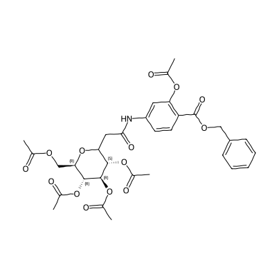 CC(=O)OC[C@H]1OC(CC(=O)Nc2ccc(C(=O)OCc3ccccc3)c(OC(C)=O)c2)[C@H](OC(C)=O)[C@@H](OC(C)=O)[C@@H]1OC(C)=O